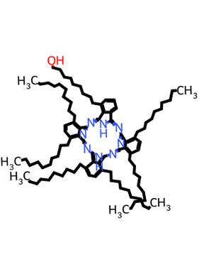 CCCCCCCCCCc1ccc(CCCCCCCCCC)c2c1-c1nc-2nc2[nH]c(nc3nc(nc4[nH]c(n1)c1cccc(CCCCCCCCCO)c41)-c1c(CCCCCCCCCC)ccc(CCCCCCCCCC)c1-3)c1c(CCCCCCCCCC)ccc(CCCCCCCCCC)c21